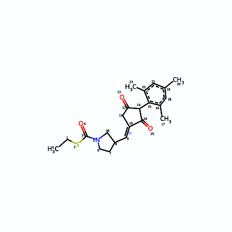 CCSC(=O)N1CCC(/C=C2\CC(=O)C(c3c(C)cc(C)cc3C)C2=O)C1